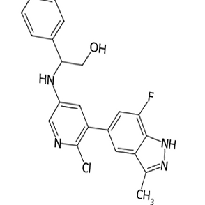 Cc1n[nH]c2c(F)cc(-c3cc(NC(CO)c4ccccc4)cnc3Cl)cc12